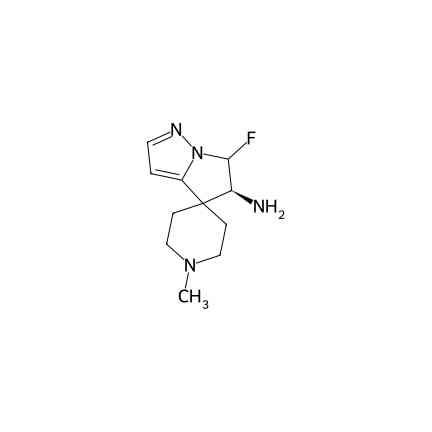 CN1CCC2(CC1)c1ccnn1C(F)[C@H]2N